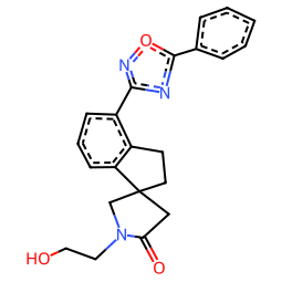 O=C1CC2(CCc3c(-c4noc(-c5ccccc5)n4)cccc32)CN1CCO